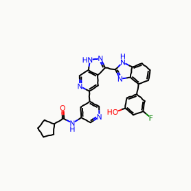 O=C(Nc1cncc(-c2cc3c(-c4nc5c(-c6cc(O)cc(F)c6)cccc5[nH]4)n[nH]c3cn2)c1)C1CCCC1